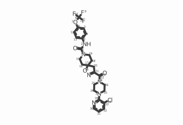 O=C(Nc1ccc(OC(F)(F)F)cc1)N1CCC2(CC1)CC(C(=O)N1CCN(c3ncccc3Cl)CC1)=NO2